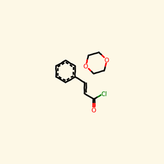 C1COCCO1.O=C(Cl)/C=C/c1ccccc1